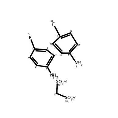 Nc1ccc(F)cc1.Nc1ccc(F)cc1.O=S(=O)(O)CS(=O)(=O)O